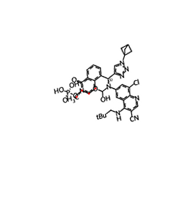 Cn1ccc2c([C@@H](c3cn(C45CC(C4)C5)nn3)N(c3cc(Cl)c4ncc(C#N)c(NCC(C)(C)C)c4c3)C(O)OCCOP(=O)(O)O)cccc2c1=O